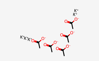 CC(=O)[O-].CC(=O)[O-].CC(=O)[O-].CC(=O)[O-].CC(=O)[O-].[K+].[K+].[K+].[K+].[K+]